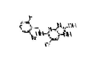 Oc1nc2nc(NCc3c(F)cccc3Br)c(Cl)cc2[nH]1